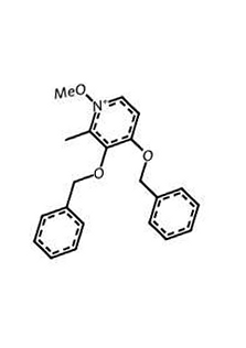 CO[n+]1ccc(OCc2ccccc2)c(OCc2ccccc2)c1C